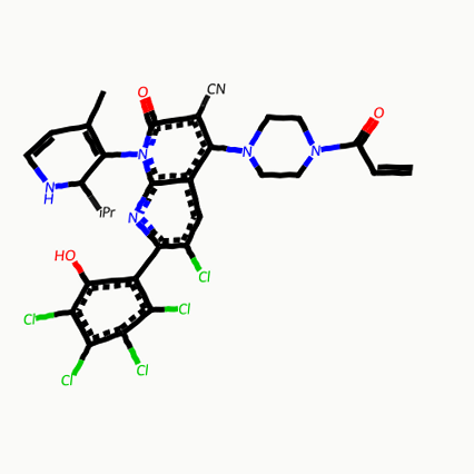 C=CC(=O)N1CCN(c2c(C#N)c(=O)n(C3=C(C)C=CNC3C(C)C)c3nc(-c4c(O)c(Cl)c(Cl)c(Cl)c4Cl)c(Cl)cc23)CC1